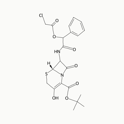 CC(C)(C)OC(=O)C1=C(O)CS[C@@H]2C(NC(=O)C(OC(=O)CCl)c3ccccc3)C(=O)N12